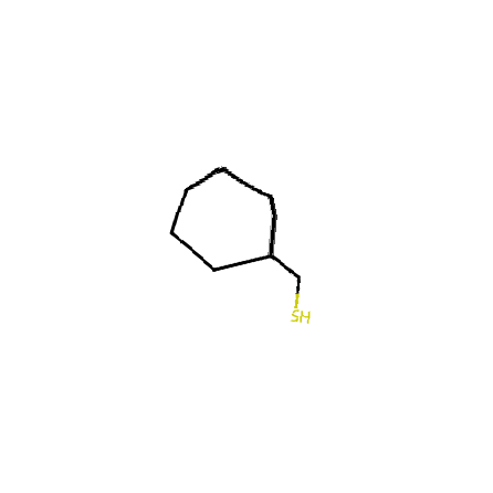 SCC1CCCCC1